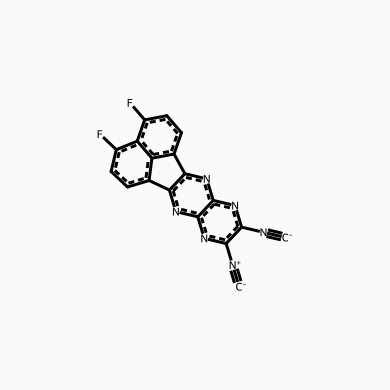 [C-]#[N+]c1nc2nc3c(nc2nc1[N+]#[C-])-c1ccc(F)c2c(F)ccc-3c12